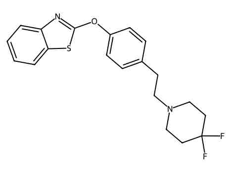 FC1(F)CCN(CCc2ccc(Oc3nc4ccccc4s3)cc2)CC1